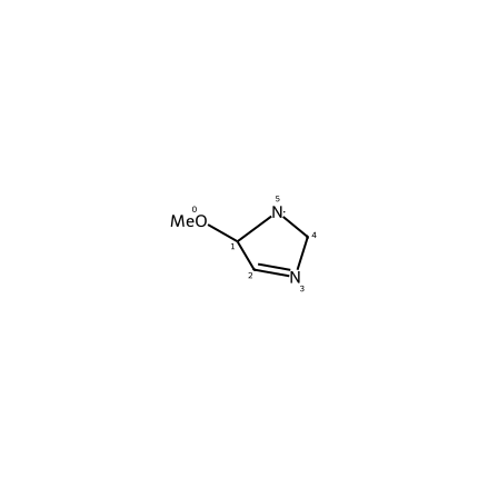 COC1C=NC[N]1